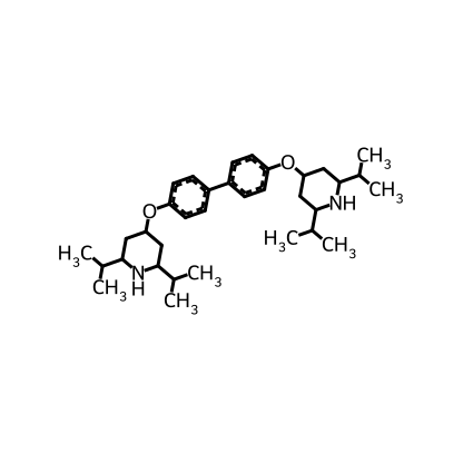 CC(C)C1CC(Oc2ccc(-c3ccc(OC4CC(C(C)C)NC(C(C)C)C4)cc3)cc2)CC(C(C)C)N1